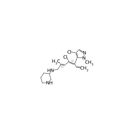 C=C/C(=C(Cl)\C=C(/C)CNC1CCCNC1)c1c(Cl)cnn1C